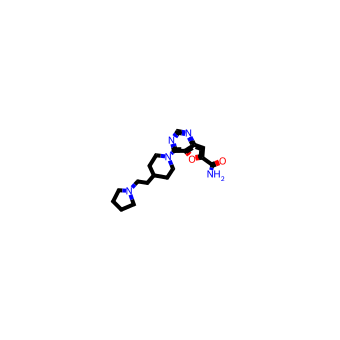 NC(=O)c1cc2ncnc(N3CCC(CCN4CCCC4)CC3)c2o1